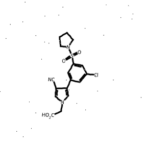 N#Cc1cn(CC(=O)O)cc1-c1cc(Cl)cc(S(=O)(=O)N2CCCC2)c1